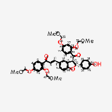 COCOc1ccc(C(=O)/C=C/c2ccc3c(c2)[C@@H](C(=O)c2ccc(OCOC)cc2OCOC)[C@H](c2ccc(O)cc2)O3)c(OCOC)c1